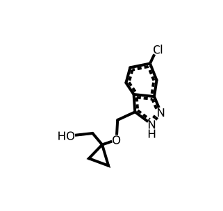 OCC1(OCc2[nH]nc3cc(Cl)ccc23)CC1